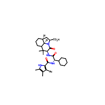 CC(=O)c1c(C(=O)N[C@H](C(=O)N[C@@H]2C(=O)N3[C@H](C(=O)O)C[C@@H]4CCCC([C@@H]43)C2(C)C)C2CCCCC2)[nH]c(C)c1C